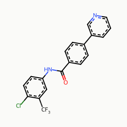 O=C(Nc1ccc(Cl)c(C(F)(F)F)c1)c1ccc(-c2cccnc2)cc1